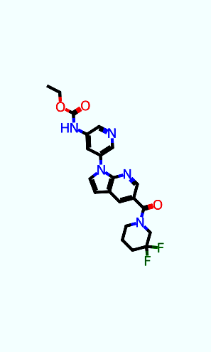 CCOC(=O)Nc1cncc(-n2ccc3cc(C(=O)N4CCCC(F)(F)C4)cnc32)c1